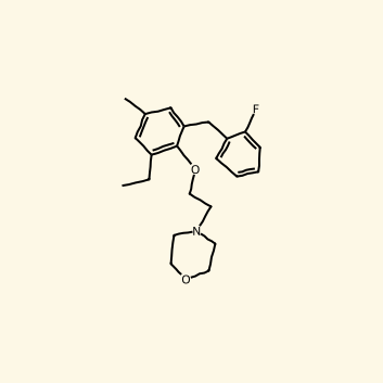 CCc1cc(C)cc(Cc2ccccc2F)c1OCCN1CCOCC1